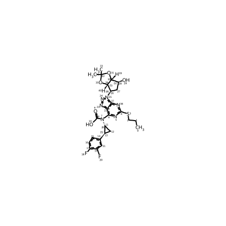 CCCSc1nc(N(C(=O)O)[C@@H]2C[C@H]2c2ccc(F)c(F)c2)c2nnn([C@@H]3C[C@H](O)[C@H]4OC(C)(C)O[C@H]43)c2n1